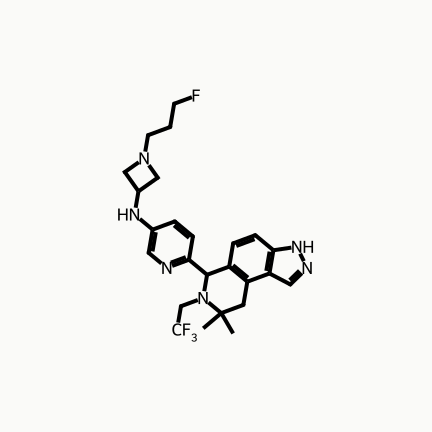 CC1(C)Cc2c(ccc3[nH]ncc23)C(c2ccc(NC3CN(CCCF)C3)cn2)N1CC(F)(F)F